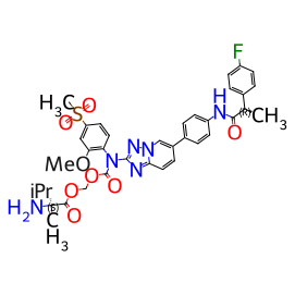 COc1cc(S(C)(=O)=O)ccc1N(C(=O)OCOC(=O)[C@@](C)(N)C(C)C)c1nc2ccc(-c3ccc(NC(=O)[C@H](C)c4ccc(F)cc4)cc3)cn2n1